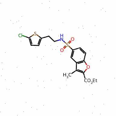 CCOC(=O)c1oc2ccc(S(=O)(=O)NCCc3ccc(Cl)s3)cc2c1C